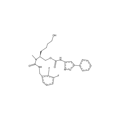 CN(C(=O)NCc1cccc(F)c1F)[C@@H](CCCCO)COC(=O)Nc1cc(-c2ccccc2)on1